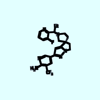 CCC(c1ncccc1F)N1CC[C@@]2(CCn3nc(-c4cnc(N)c(C(F)(F)F)c4)cc32)C1